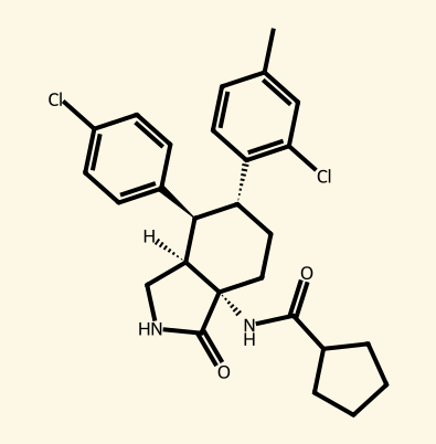 Cc1ccc([C@@H]2CC[C@@]3(NC(=O)C4CCCC4)C(=O)NC[C@H]3[C@H]2c2ccc(Cl)cc2)c(Cl)c1